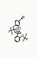 N#Cc1ccc(CC(O)(CC2(c3ccccc3OC(F)(F)F)CC2)C(F)(F)F)c(Cl)c1